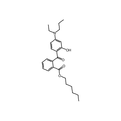 CCCCCCOC(=O)c1ccccc1C(=O)c1ccc(N(CC)CCC)cc1O